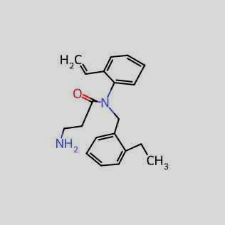 C=Cc1ccccc1N(Cc1ccccc1CC)C(=O)CCN